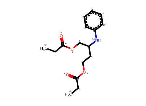 CCC(=O)OCCC(COC(=O)CC)Nc1ccccc1